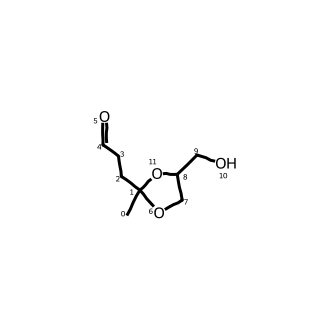 CC1(CCC=O)OCC(CO)O1